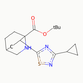 CC(C)(C)OC(=O)C12CCC(CN1)CC2c1nc(C2CC2)ns1